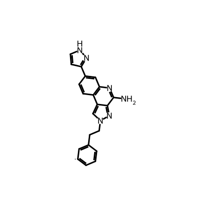 Nc1nc2cc(-c3cc[nH]n3)ccc2c2cn(CCc3c[c]ccc3)nc12